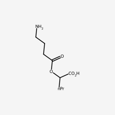 CCCC(OC(=O)CCCN)C(=O)O